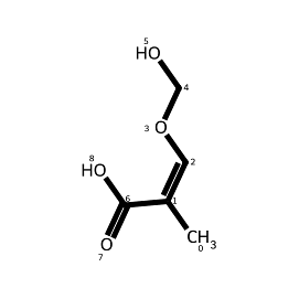 CC(=COCO)C(=O)O